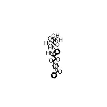 CNC(C(=O)O)C(O)C(=O)Nc1cccc2c(C(=O)C(=O)N3CCN(C(=O)c4ccccc4)CC3)c[nH]c12